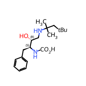 CC(C)(C)CC(C)(C)NC[C@@H](O)[C@H](Cc1ccccc1)NC(=O)O